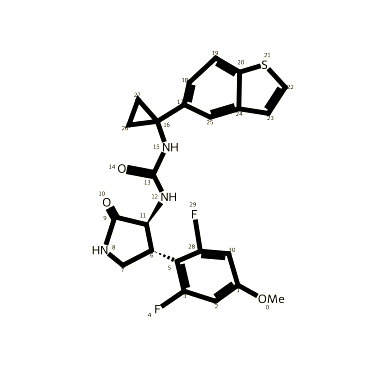 COc1cc(F)c([C@@H]2CNC(=O)[C@H]2NC(=O)NC2(c3ccc4sccc4c3)CC2)c(F)c1